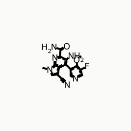 COc1c(F)cncc1-c1c(N)c(C(N)=O)nc2c1c(C#N)cn2C